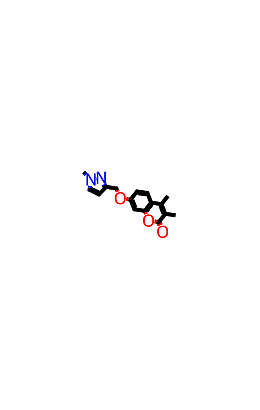 Cc1c(C)c2ccc(OCc3ccn(C)n3)cc2oc1=O